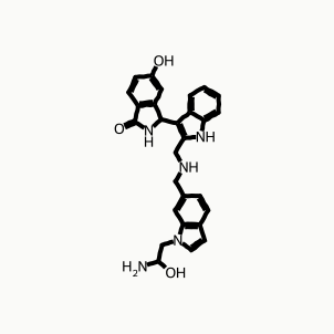 NC(O)Cn1ccc2ccc(CNCc3[nH]c4ccccc4c3C3NC(=O)c4ccc(O)cc43)cc21